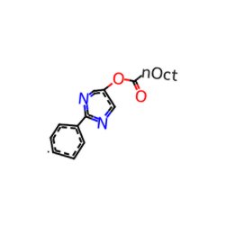 CCCCCCCCC(=O)Oc1cnc(-c2cc[c]cc2)nc1